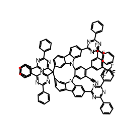 N#Cc1cc2c(cc1-c1cc(C(F)(F)F)cc(C(F)(F)F)c1)-n1c3cc(-c4nc(-c5ccccc5)nc(-c5ccccc5)n4)ccc3c3ccc(cc31)C(c1nc(-c3ccccc3)nc(-c3ccccc3)n1)(c1nc(-c3ccccc3)nc(-c3ccccc3)n1)c1ccc3c4ccc(-c5nc(-c6ccccc6)nc(-c6ccccc6)n5)cc4n-2c3c1